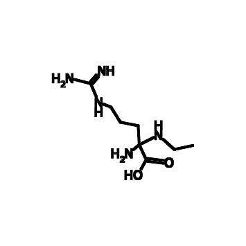 CCNC(N)(CCCNC(=N)N)C(=O)O